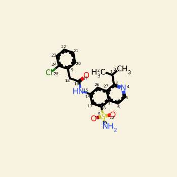 CC(C)c1nccc2c(S(N)(=O)=O)cc(NC(=O)Cc3ccccc3Cl)cc12